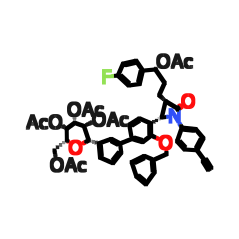 C#Cc1ccc(N2C(=O)[C@H](CC[C@H](OC(C)=O)c3ccc(F)cc3)[C@H]2c2ccc(-c3cccc([C@@H]4O[C@H](COC(C)=O)[C@@H](OC(C)=O)[C@H](OC(C)=O)[C@H]4OC(C)=O)c3)cc2OCc2ccccc2)cc1